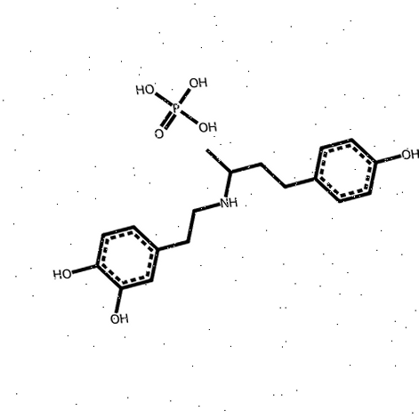 CC(CCc1ccc(O)cc1)NCCc1ccc(O)c(O)c1.O=P(O)(O)O